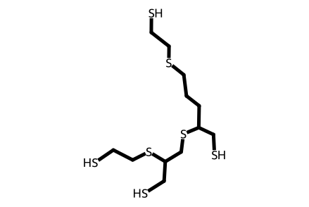 SCCSCCCC(CS)SCC(CS)SCCS